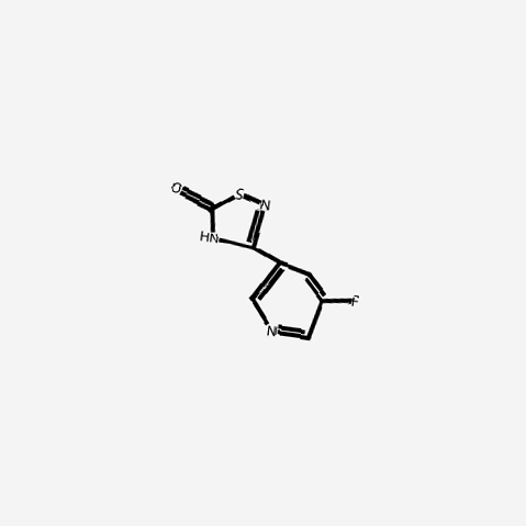 O=c1[nH]c(-c2cncc(F)c2)ns1